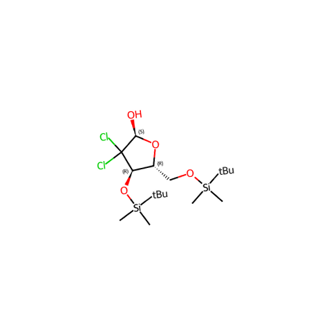 CC(C)(C)[Si](C)(C)OC[C@H]1O[C@H](O)C(Cl)(Cl)[C@@H]1O[Si](C)(C)C(C)(C)C